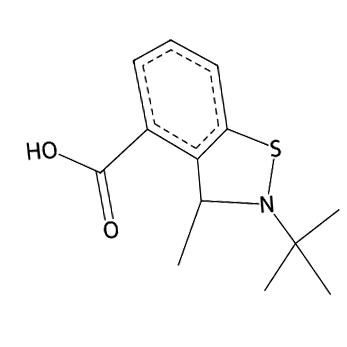 CC1c2c(cccc2C(=O)O)SN1C(C)(C)C